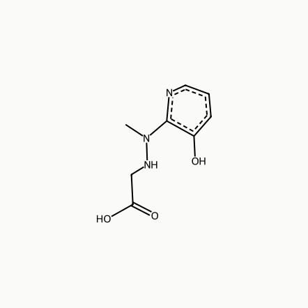 CN(NCC(=O)O)c1ncccc1O